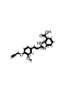 C#CCOc1ccc(C=Cc2nc3cccc(C(=O)O)c3[nH]2)cc1OC